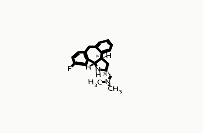 CN(C)C[C@H]1C[C@@H]2c3ccccc3Cc3ccc(F)cc3[C@H]2N1